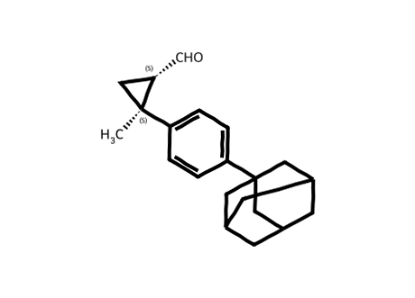 C[C@]1(c2ccc(C34CC5CC(CC(C5)C3)C4)cc2)C[C@@H]1C=O